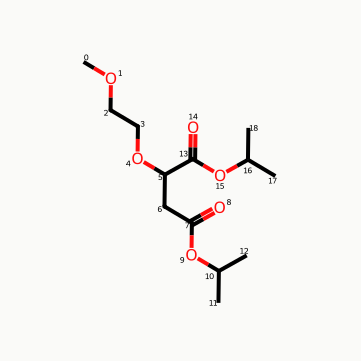 COCCOC(CC(=O)OC(C)C)C(=O)OC(C)C